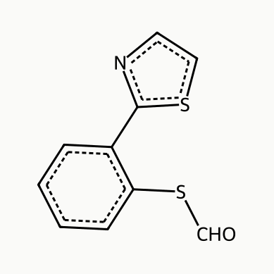 O=CSc1ccccc1-c1nccs1